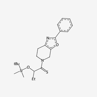 CCC(O[Si](C)(C)C(C)(C)C)C(=S)N1CCc2nc(-c3ccccc3)oc2C1